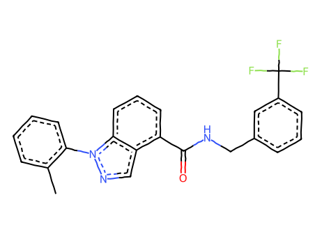 Cc1ccccc1-n1ncc2c(C(=O)NCc3cccc(C(F)(F)F)c3)cccc21